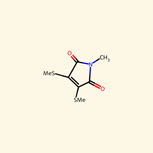 CSC1=C(SC)C(=O)N(C)C1=O